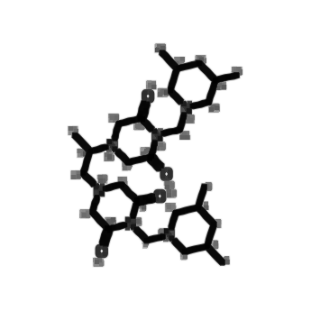 CC1CC(C)CN(CN2C(=O)CN(CC(C)N3CC(=O)N(CN4CC(C)CC(C)C4)C(=O)C3)CC2=O)C1